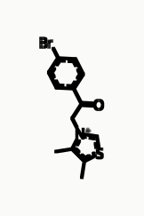 Cc1sc[n+](CC(=O)c2ccc(Br)cc2)c1C